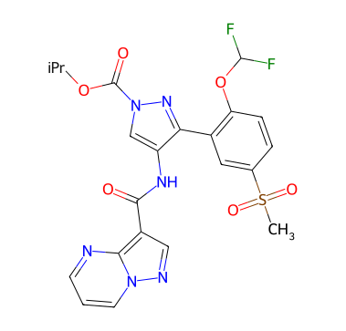 CC(C)OC(=O)n1cc(NC(=O)c2cnn3cccnc23)c(-c2cc(S(C)(=O)=O)ccc2OC(F)F)n1